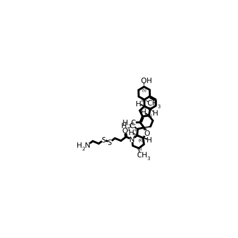 CC1=C2C[C@H]3[C@@H](CC=C4C[C@@H](O)CC[C@@]43C)[C@@H]2CC[C@]12O[C@@H]1C[C@H](C)CN(C(=O)CCSSCCN)[C@H]1[C@H]2C